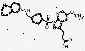 COc1cnc2c(c1)c(CCC(=O)O)nn2S(=O)(=O)c1ccc(CNc2ccc3ncccc3c2)cc1